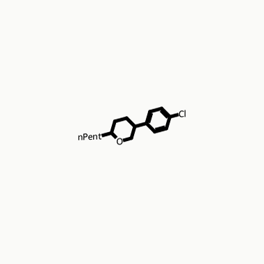 CCCCCC1CCC(c2ccc(Cl)cc2)CO1